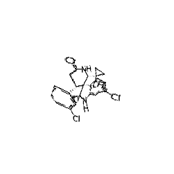 CC1([C@H]2NC(=O)C[C@@H](c3cccc(Cl)c3)[C@]23C(=O)Nc2cc(Cl)ccc23)CC1